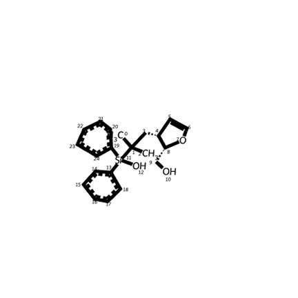 CC(C)(C[C@@H]1C=CO[C@@H]1CO)[Si](O)(c1ccccc1)c1ccccc1